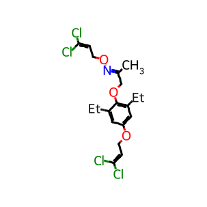 CCc1cc(OCC=C(Cl)Cl)cc(CC)c1OCC(C)=NOCC=C(Cl)Cl